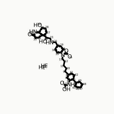 F.F.O=C(O)Nc1cc(CCCCCn2c(=O)oc3cc(CNC[C@H](O)c4ccc(O)c5[nH]c(=O)ccc45)ccc32)ccc1-c1ccccc1